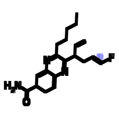 C=CC(C/C=C/F)c1nc2c(nc1CCCCC)=CC(C(N)=O)CC=2